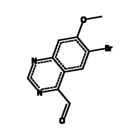 COc1cc2ncnc(C=O)c2cc1Br